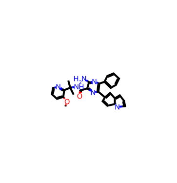 COc1cccnc1C(C)(C)NC(=O)c1nc(-c2ccc3ncccc3c2)c(-c2ccccc2)nc1N